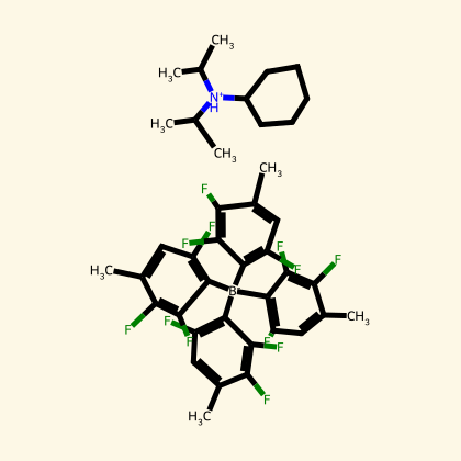 CC(C)[NH+](C(C)C)C1CCCCC1.Cc1cc(F)c([B-](c2c(F)cc(C)c(F)c2F)(c2c(F)cc(C)c(F)c2F)c2c(F)cc(C)c(F)c2F)c(F)c1F